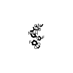 CCN(C)S(=O)(=O)NC(C)c1cnc2ccc(N3C[C@@H](F)C[C@@H]3c3cc(F)cc4c3OCCO4)cn12